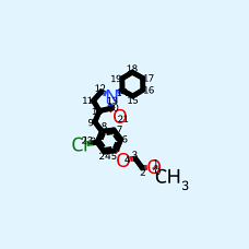 COCCOc1ccc(CC2CCN(C3CCCCC3)C2=O)c(Cl)c1